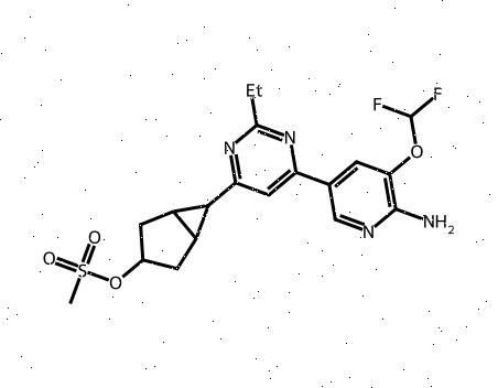 CCc1nc(-c2cnc(N)c(OC(F)F)c2)cc(C2C3CC(OS(C)(=O)=O)CC32)n1